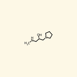 CNC[C@@H](O)CN1CCCC1